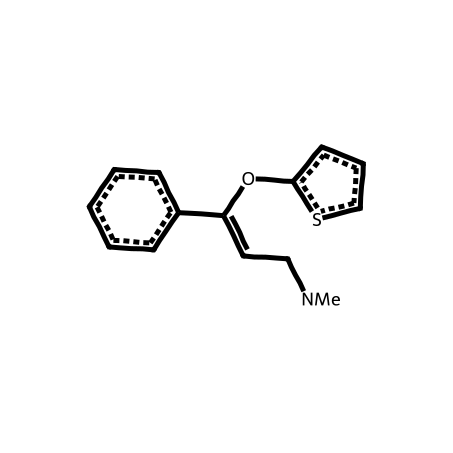 CNCC=C(Oc1cccs1)c1ccccc1